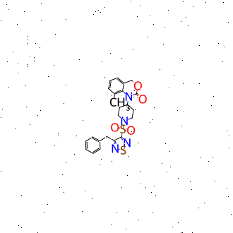 Cc1cccc2c1N(C1CCN(S(=O)(=O)c3nsnc3Cc3ccccc3)CC1)C(=O)OC2